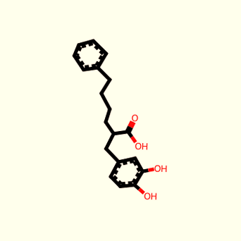 O=C(O)C(CCCCc1ccccc1)Cc1ccc(O)c(O)c1